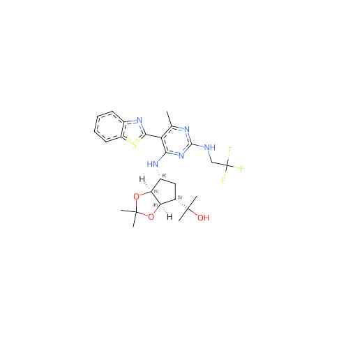 Cc1nc(NCC(F)(F)F)nc(N[C@@H]2C[C@H](C(C)(C)O)[C@H]3OC(C)(C)O[C@H]32)c1-c1nc2ccccc2s1